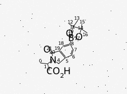 CC(C(=O)O)N1Cc2ccc(B3OC(C)(C)C(C)(C)O3)cc2C1=O